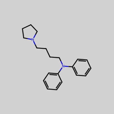 c1ccc(N(CCCCN2CCCC2)c2ccccc2)cc1